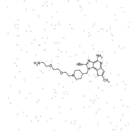 CCCCc1nc2c(N)nc3cc(C)sc3c2n1CC1CCN(CCOCCOCCN)CC1